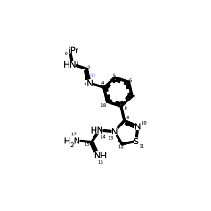 CC(C)N/C=N/c1cccc(C2=NSCN2NC(=N)N)c1